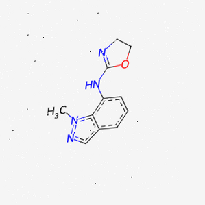 Cn1ncc2cccc(NC3=NCCO3)c21